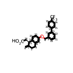 C=C1CCc2cc(OCc3cccc(-c4ccc(C(F)(F)F)cc4)c3)ccc2[C@@H]1CC(=O)O